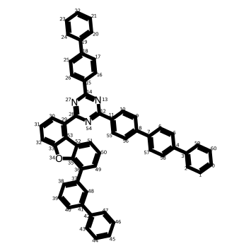 c1ccc(-c2ccc(-c3ccc(-c4nc(-c5ccc(-c6ccccc6)cc5)nc(-c5cccc6oc7c(-c8cccc(-c9ccccc9)c8)cccc7c56)n4)cc3)cc2)cc1